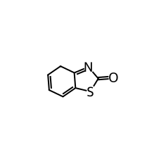 O=C1N=C2CC=CC=C2S1